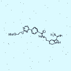 COCCOc1nccc(-c2ccc(C(=O)NCCc3ccc4[nH]cc(C(=N)N)c4c3)cc2)n1